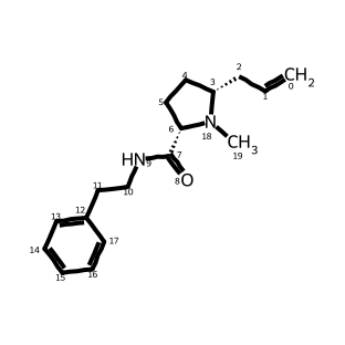 C=CC[C@H]1CC[C@@H](C(=O)NCCc2ccccc2)N1C